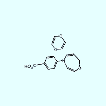 C1=COC=CO1.O=C(O)c1ccc(N2C=CCOC=C2)cc1